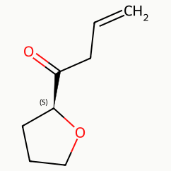 C=CCC(=O)[C@@H]1CCCO1